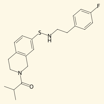 CC(C)C(=O)N1CCc2ccc(SNCCc3ccc(F)cc3)cc2C1